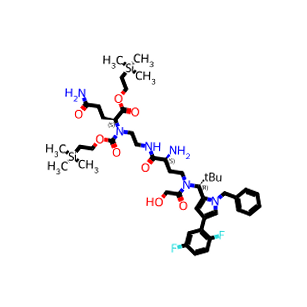 CC(C)(C)[C@H](c1cc(-c2cc(F)ccc2F)cn1Cc1ccccc1)N(CC[C@H](N)C(=O)NCCN(C(=O)OCC[Si](C)(C)C)[C@@H](CCC(N)=O)C(=O)OCC[Si](C)(C)C)C(=O)CO